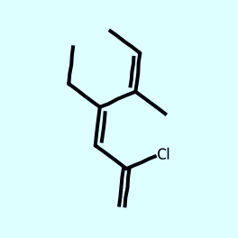 C=C(Cl)/C=C(CC)\C(C)=C/C